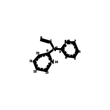 C=CN(c1ccccn1)c1ccccn1